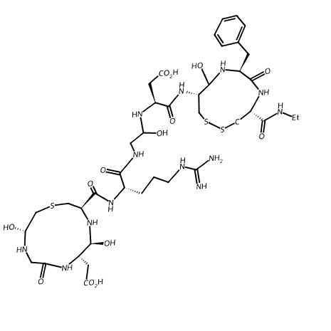 CCNC(=O)[C@@H]1CSSC[C@H](NC(=O)[C@H](CC(=O)O)NC(O)CNC(=O)[C@H](CCCNC(=N)N)NC(=O)[C@@H]2CSC[C@@H](O)NCC(=O)N[C@@H](CC(=O)O)[C@H](O)N2)C(O)N[C@@H](Cc2ccccc2)C(=O)N1